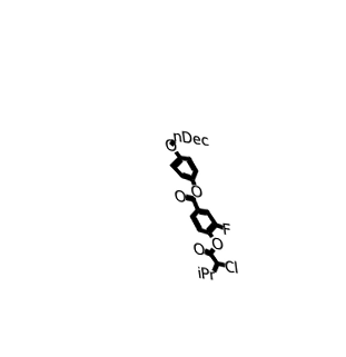 CCCCCCCCCCOc1ccc(OC(=O)c2ccc(OC(=O)C(Cl)C(C)C)c(F)c2)cc1